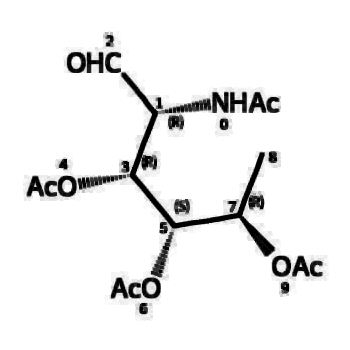 CC(=O)N[C@@H](C=O)[C@@H](OC(C)=O)[C@@H](OC(C)=O)[C@@H](C)OC(C)=O